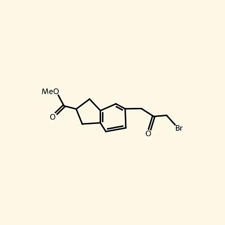 COC(=O)C1Cc2ccc(CC(=O)CBr)cc2C1